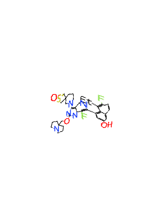 CCc1c(F)ccc2cc(O)cc(-c3ncc4c(N5CCCC6(C5)C[S+]([O-])C6)nc(OCC56CCCN5CCC6)nc4c3F)c12